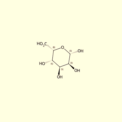 O=C(O)[C@@H]1O[C@H](O)[C@@H](O)[C@@H](O)[C@@H]1O